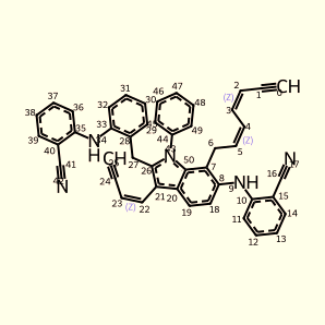 C#C/C=C\C=C/Cc1c(Nc2ccccc2C#N)ccc2c(/C=C\C#C)c(Cc3ccccc3Nc3ccccc3C#N)n(-c3ccccc3)c12